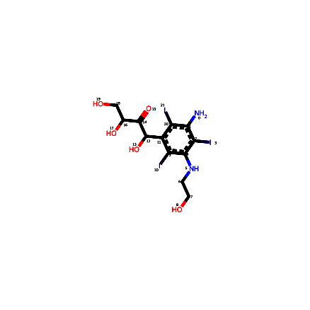 Nc1c(I)c(NCCO)c(I)c(C(O)C(=O)C(O)CO)c1I